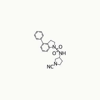 N#CN1CCC(NS(=O)(=O)N2CCc3c(-c4ccccc4)cccc32)C1